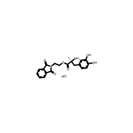 C[C@](N)(Cc1ccc(O)c(O)c1)C(=O)OCCN1C(=O)c2ccccc2C1=O.Cl